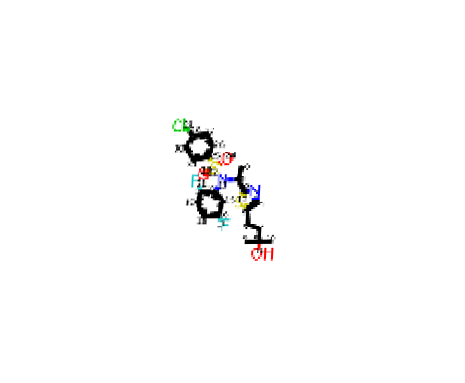 CC(c1ncc(CCC(C)(C)O)s1)N(c1cc(F)ccc1F)S(=O)(=O)c1ccc(Cl)cc1